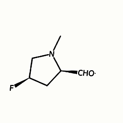 CN1C[C@H](F)C[C@@H]1[C]=O